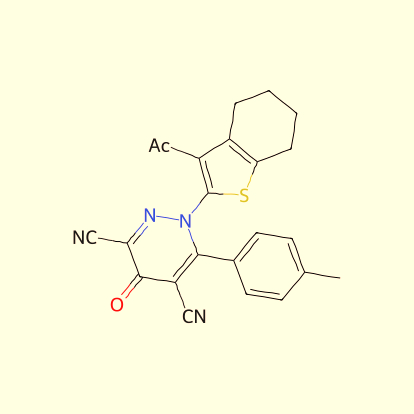 CC(=O)c1c(-n2nc(C#N)c(=O)c(C#N)c2-c2ccc(C)cc2)sc2c1CCCC2